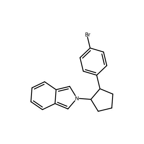 Brc1ccc(C2CCCC2n2cc3ccccc3c2)cc1